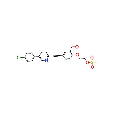 CS(=O)(=O)OCCOc1ccc(C#Cc2ccc(-c3ccc(Cl)cc3)cn2)cc1C=O